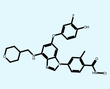 CCNC(=O)c1ccc(-n2cnc3c(NCC4CCOCC4)cc(Oc4ccc(O)c(F)c4)cc32)cc1C